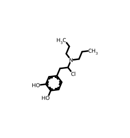 CCCN(CCC)C(Cl)Cc1ccc(O)c(O)c1